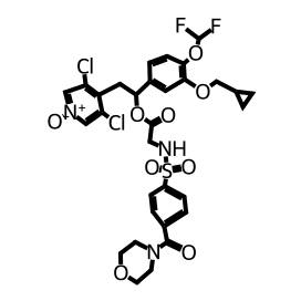 O=C(CNS(=O)(=O)c1ccc(C(=O)N2CCOCC2)cc1)OC(Cc1c(Cl)c[n+]([O-])cc1Cl)c1ccc(OC(F)F)c(OCC2CC2)c1